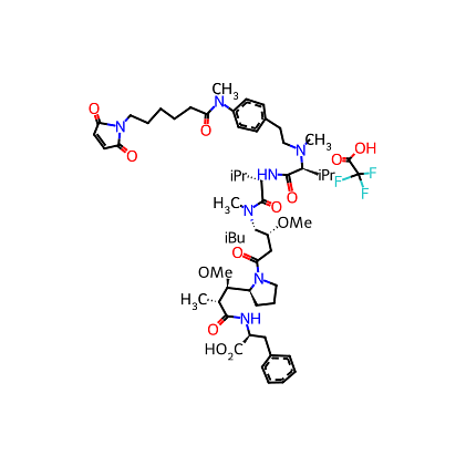 CC[C@H](C)[C@@H]([C@@H](CC(=O)N1CCC[C@H]1[C@H](OC)[C@@H](C)C(=O)N[C@@H](Cc1ccccc1)C(=O)O)OC)N(C)C(=O)[C@@H](NC(=O)[C@H](C(C)C)N(C)CCc1ccc(N(C)C(=O)CCCCCN2C(=O)C=CC2=O)cc1)C(C)C.O=C(O)C(F)(F)F